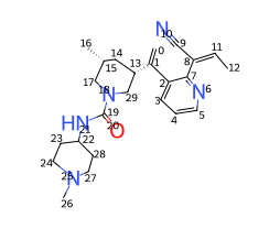 C=C(c1cccnc1/C(C#N)=C\C)[C@H]1C[C@@H](C)CN(C(=O)NC2CCN(C)CC2)C1